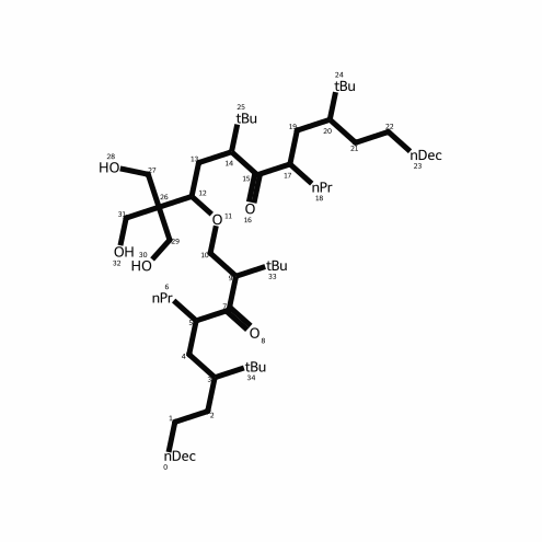 CCCCCCCCCCCCC(CC(CCC)C(=O)C(COC(CC(C(=O)C(CCC)CC(CCCCCCCCCCCC)C(C)(C)C)C(C)(C)C)C(CO)(CO)CO)C(C)(C)C)C(C)(C)C